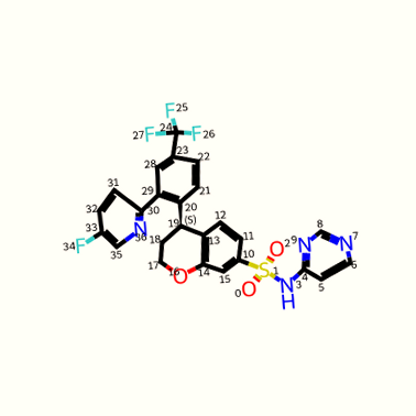 O=S(=O)(Nc1ccncn1)c1ccc2c(c1)OCC[C@H]2c1ccc(C(F)(F)F)cc1-c1ccc(F)cn1